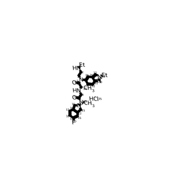 CCNCCN(C(=O)CNCC(=O)N(C)N1Cc2ccc(F)cc2C1)c1cc2cn(CC)nc2cc1C.Cl